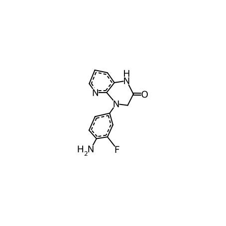 Nc1ccc(N2CC(=O)Nc3cccnc32)cc1F